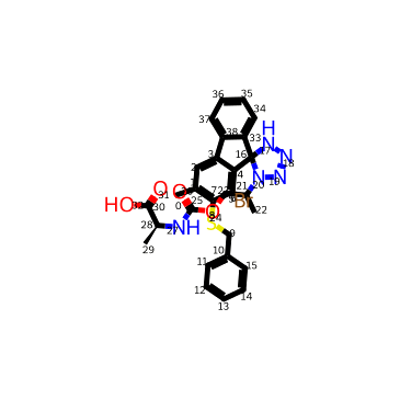 Cc1cc2c(c(Br)c1SCc1ccccc1)C1(NN=NN1C(C)COC(=O)N[C@@H](C)C(=O)O)c1ccccc1-2